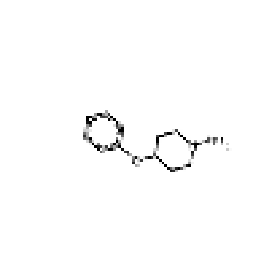 NN1CCC(Oc2ccccc2)CC1